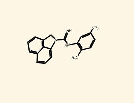 Cc1ccc(C)c(NC(=N)N2Cc3cccc4cccc2c34)c1